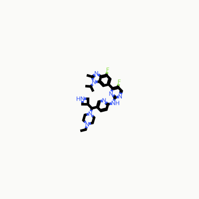 CCN1CCN(C(c2ccc(Nc3ncc(F)c(-c4cc(F)c5nc(C)n(C(C)C)c5c4)n3)nc2)C2CNC2)CC1